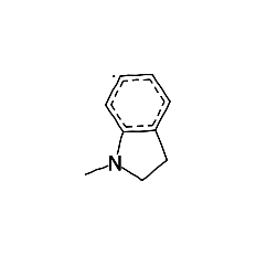 CN1CCc2cc[c]cc21